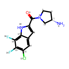 N[C@H]1CCN(C(=O)c2cc3cc(Cl)c(F)c(F)c3[nH]2)C1